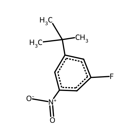 CC(C)(C)c1cc(F)cc([N+](=O)[O-])c1